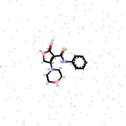 O=C(Nc1ccccc1)C1=C(N2CCOCC2)COC1=O